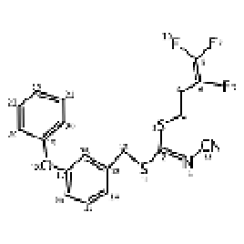 N#CN=C(SCCC(F)=C(F)F)SCc1cccc(Oc2ccccc2)c1